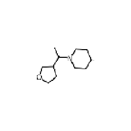 CC(C1CCOC1)N1CC[CH]CC1